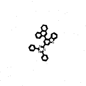 C1=Cc2cc(-c3cc(-c4nc(-c5ccccc5)nc(-c5ccccc5)n4)cc4sc5ccccc5c34)c3ccccc3c2CC1